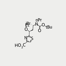 CCCN(C(=O)OC(C)(C)C)[C@H](C[C@H](OCC)c1nc(C(=O)O)cs1)C(C)C